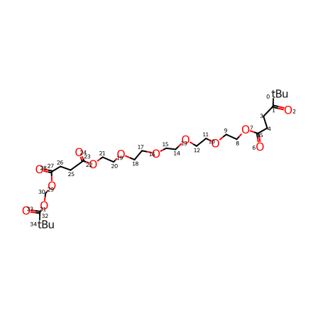 CC(C)(C)C(=O)CCC(=O)OCCOCCOCCOCCOCCOC(=O)CCC(=O)OCOC(=O)C(C)(C)C